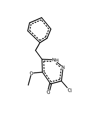 COc1c(Cc2ccccc2)[nH]nc(Cl)c1=O